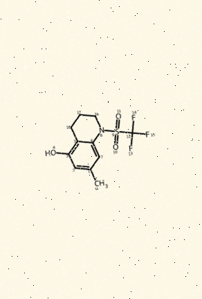 Cc1cc(O)c2c(c1)N(S(=O)(=O)C(F)(F)F)CCC2